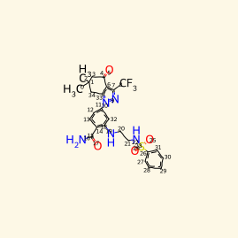 CC1(C)CC(=O)c2c(C(F)(F)F)nn(-c3ccc(C(N)=O)c(NCCNS(=O)(=O)c4ccccc4)c3)c2C1